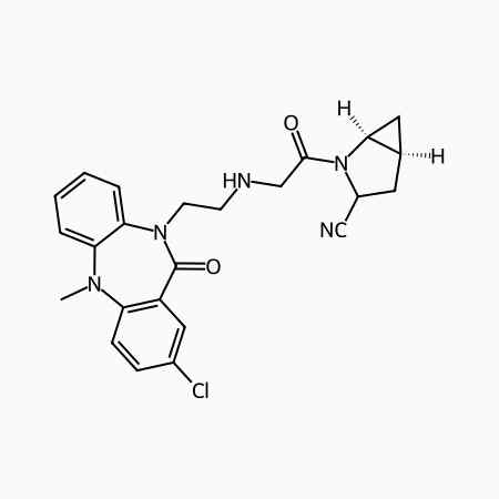 CN1c2ccc(Cl)cc2C(=O)N(CCNCC(=O)N2C(C#N)C[C@@H]3C[C@@H]32)c2ccccc21